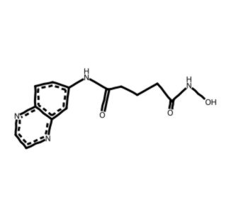 O=C(CCCC(=O)Nc1ccc2nccnc2c1)NO